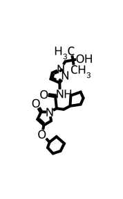 CC(C)(O)Cn1ccc(NC(=O)C(CC2CCCC2)N2CC(OC3CCCCC3)=CC2=O)n1